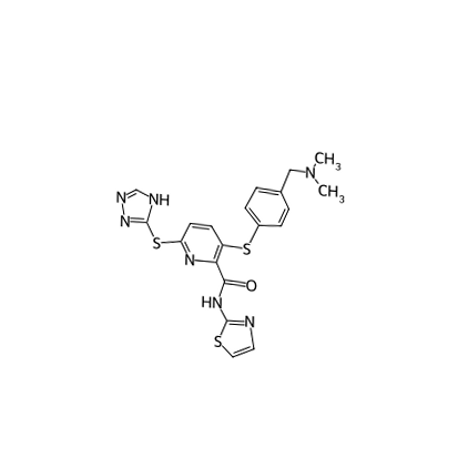 CN(C)Cc1ccc(Sc2ccc(Sc3nnc[nH]3)nc2C(=O)Nc2nccs2)cc1